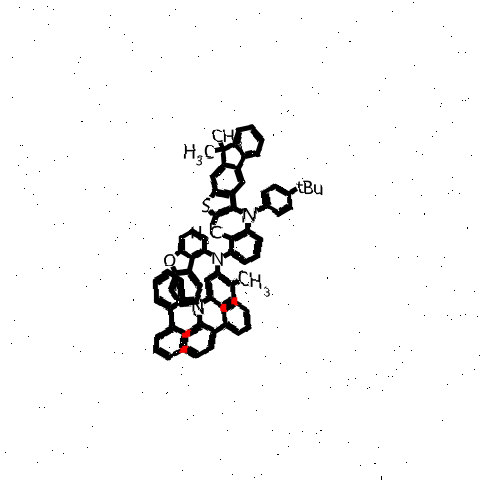 Cc1ccc(N(c2ccccc2-c2ccccc2)c2ccccc2-c2ccccc2)cc1N(c1cccc(N(c2ccc(C(C)(C)C)cc2)c2c(I)sc3cc4c(cc23)-c2ccccc2C4(C)C)c1C)c1cccc2oc3ccccc3c12